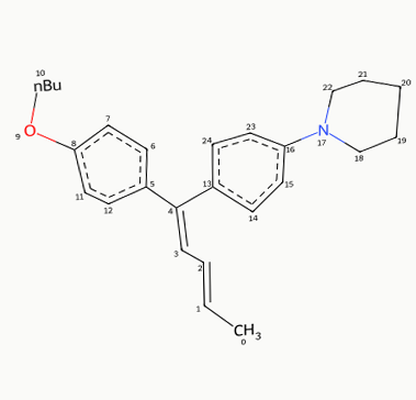 CC=CC=C(c1ccc(OCCCC)cc1)c1ccc(N2CCCCC2)cc1